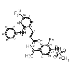 CC(NC(=O)C=Cc1ccc(C(F)(F)F)nc1Nc1ccccc1)c1ccc(NS(C)(=O)=O)c(F)c1